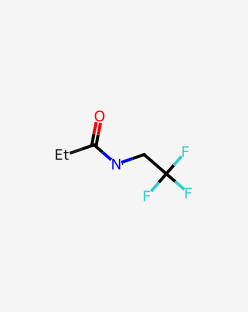 CCC(=O)[N]CC(F)(F)F